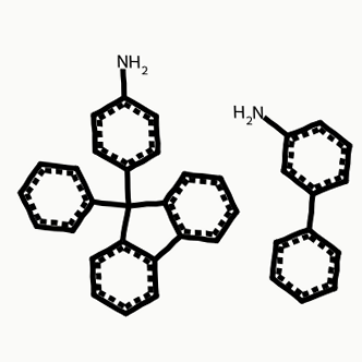 Nc1ccc(C2(c3ccccc3)c3ccccc3-c3ccccc32)cc1.Nc1cccc(-c2ccccc2)c1